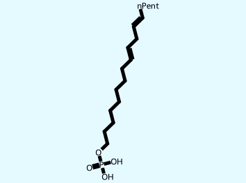 CCCCCC=CCC=CCCCCCCCCOP(=O)(O)O